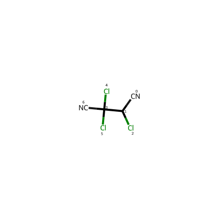 N#CC(Cl)C(Cl)(Cl)C#N